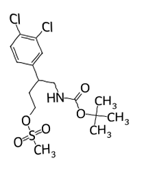 CC(C)(C)OC(=O)NCC(CCOS(C)(=O)=O)c1ccc(Cl)c(Cl)c1